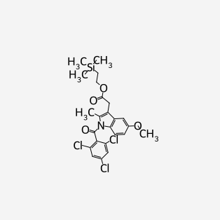 COc1ccc2c(c1)c(CC(=O)OCC[Si](C)(C)C)c(C)n2C(=O)c1c(Cl)cc(Cl)cc1Cl